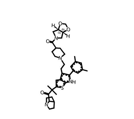 Cc1cc(C)cc(-c2[nH]c3sc(C(C)(C)C(=O)C4C5CCN4CC5)cc3c2CCN2CCC(C(=O)N3C[C@@H]4OCO[C@@H]4C3)CC2)c1